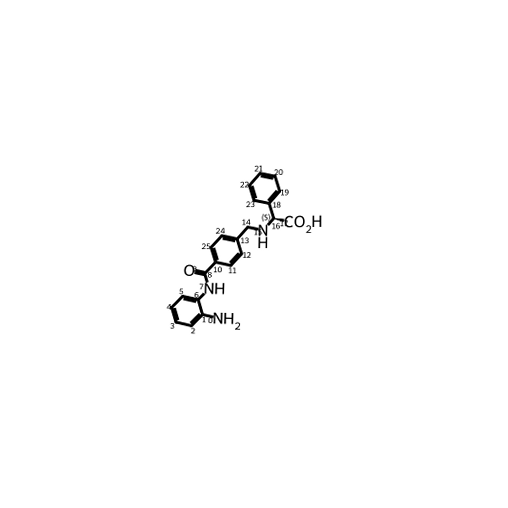 Nc1ccccc1NC(=O)c1ccc(CN[C@H](C(=O)O)c2ccccc2)cc1